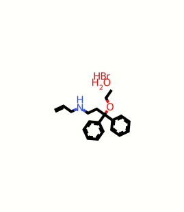 Br.C=CCNCCC(OCC)(c1ccccc1)c1ccccc1.O